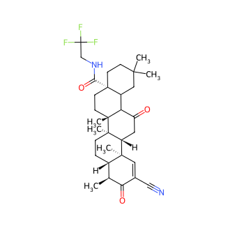 C[C@@H]1C(=O)C(C#N)=C[C@]2(C)[C@H]3CC(=O)C4C5CC(C)(C)CC[C@]5(C(=O)NCC(F)(F)F)CC[C@@]4(C)[C@]3(C)CC[C@@H]12